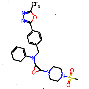 CS(=O)(=O)N1CCN(C2OC2N(Cc2ccc(-c3nnc(C(F)(F)F)o3)cc2)C2=CC=CCC2)CC1